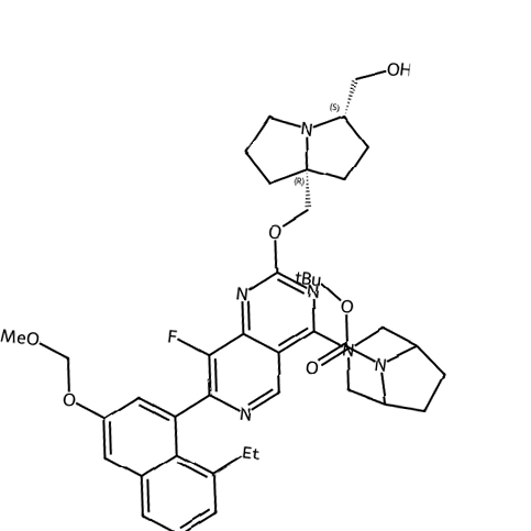 CCc1cccc2cc(OCOC)cc(-c3ncc4c(N5CC6CCC(C5)N6C(=O)OC(C)(C)C)nc(OC[C@]56CCCN5[C@H](CO)CC6)nc4c3F)c12